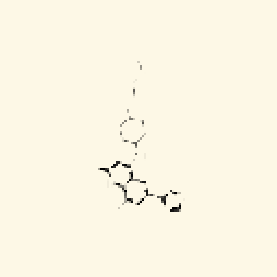 COCCOC1CCC(Nc2cc(=O)[nH]c3c(C)cc(-c4cncs4)cc23)CC1